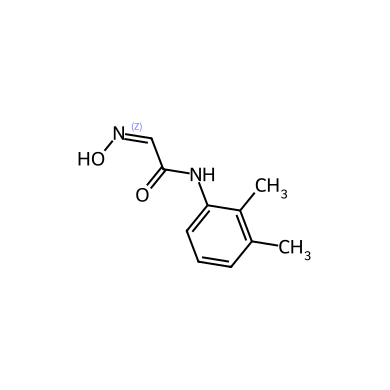 Cc1cccc(NC(=O)/C=N\O)c1C